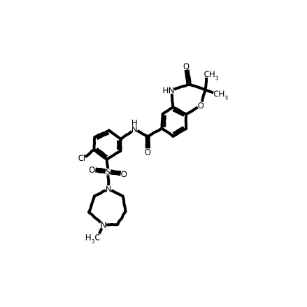 CN1CCCN(S(=O)(=O)c2cc(NC(=O)c3ccc4c(c3)NC(=O)C(C)(C)O4)ccc2Cl)CC1